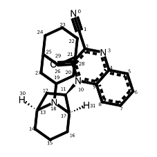 N#Cc1nc2ccccc2n([C@@H]2C[C@@H]3CCC[C@H]2N3C2CC3CCCC(C3)C2)c1=O